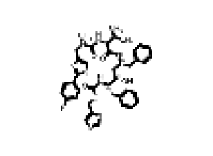 CC(C)[C@H](NC(=O)N(C)Cc1csc(-c2ccc(F)cc2)n1)C(=O)N[C@@H](Cc1ccccc1)C[C@H](O)[C@H](Cc1ccccc1)NC(=O)OCc1cncs1